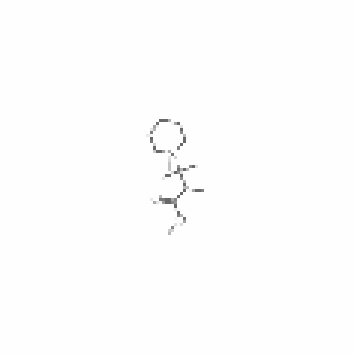 COC(=O)C(C)C(C)(C)[SiH]1CCCCC1